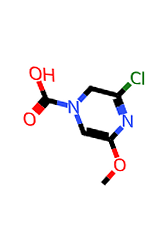 COC1=CN(C(=O)O)CC(Cl)=N1